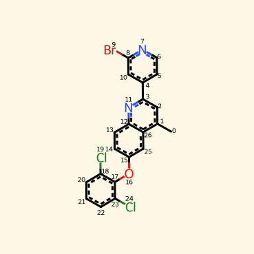 Cc1cc(-c2ccnc(Br)c2)nc2ccc(Oc3c(Cl)cccc3Cl)cc12